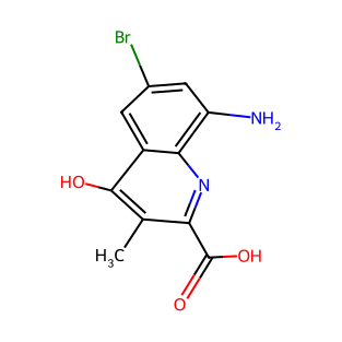 Cc1c(C(=O)O)nc2c(N)cc(Br)cc2c1O